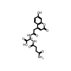 NC(=O)CCC(=O)N[C@H](NC(=O)Cc1cc(=O)oc2cc(O)ccc12)C(=O)O